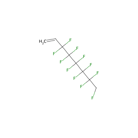 C=CC(F)(F)C(F)(F)C(F)(F)C(F)(F)C(F)(F)CF